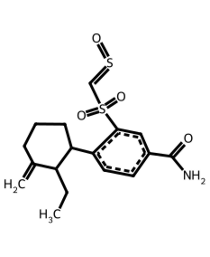 C=C1CCCC(c2ccc(C(N)=O)cc2S(=O)(=O)C=S=O)C1CC